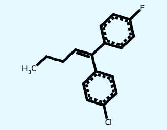 CCC/C=C(/c1ccc(F)cc1)c1ccc(Cl)cc1